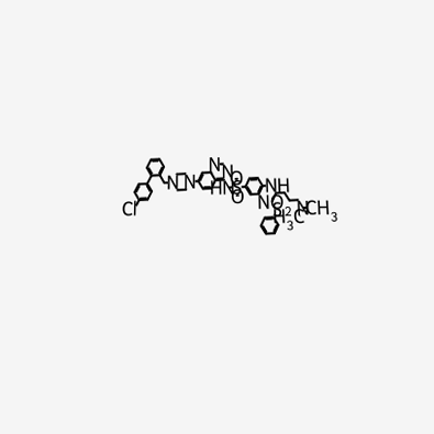 CN(C)CCCC(CSc1ccccc1)Nc1ccc(S(=O)(=O)Nc2ncnc3cc(N4CCN(Cc5ccccc5-c5ccc(Cl)cc5)CC4)ccc23)cc1[N+](=O)[O-]